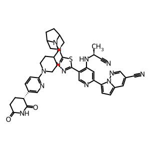 C[C@@H](C#N)Nc1cc(-c2ccc3cc(C#N)cnn23)ncc1-c1nnc(N2CC3CCC(C2)N3CC2CCN(c3ccc([C@H]4CCC(=O)NC4=O)cn3)CC2)s1